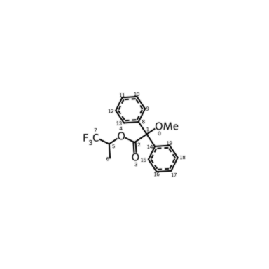 COC(C(=O)OC(C)C(F)(F)F)(c1ccccc1)c1ccccc1